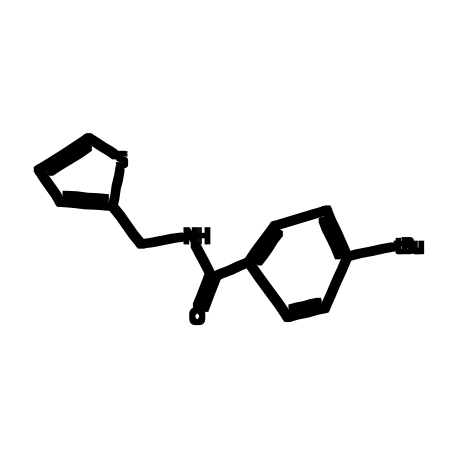 CC(C)(C)c1ccc(C(=O)NCc2cccs2)cc1